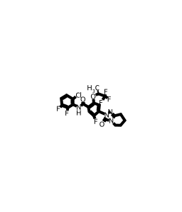 C[C@H](Oc1cc(-n2nc3n(c2=O)CCCC3)c(F)cc1C(=O)Nc1c(Cl)ccc(F)c1F)C(F)(F)F